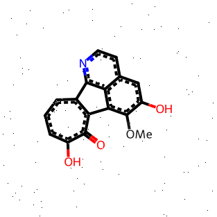 COc1c(O)cc2ccnc3c2c1-c1c-3cccc(O)c1=O